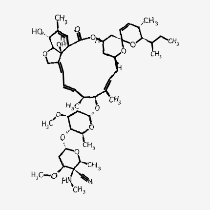 CCC(C)[C@H]1O[C@]2(C=C[C@@H]1C)C[C@@H]1C[C@@H](C/C=C(\C)[C@@H](O[C@H]3C[C@H](OC)[C@@H](O[C@H]4C[C@H](OC)[C@@](C#N)(NC)[C@H](C)O4)[C@H](C)O3)[C@@H](C)/C=C/C=C3\COC4[C@H](O)C(C)=C[C@@H](C(=O)O1)[C@]34O)O2